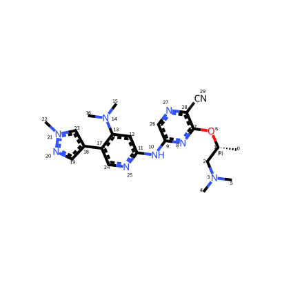 C[C@H](CN(C)C)Oc1nc(Nc2cc(N(C)C)c(-c3cnn(C)c3)cn2)cnc1C#N